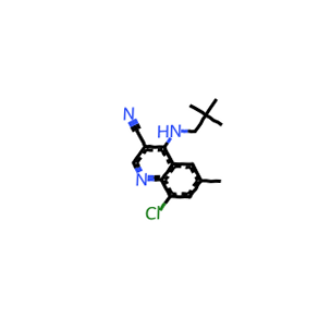 Cc1cc(Cl)c2ncc(C#N)c(NCC(C)(C)C)c2c1